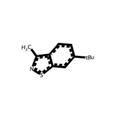 Cc1nsc2cc(C(C)(C)C)ccc12